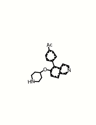 CC(=O)c1ccc(-c2c(OC3CCNCC3)ccc3cnccc23)cc1